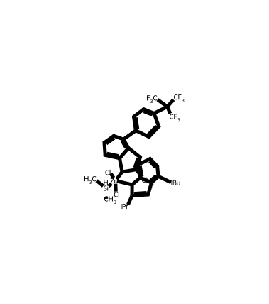 CCC(C)c1cccc2c1C=C(C(C)C)[CH]2[Zr]([Cl])([Cl])([CH]1C(C)=Cc2c(-c3ccc(C(C(F)(F)F)(C(F)(F)F)C(F)(F)F)cc3)cccc21)[SiH](C)C